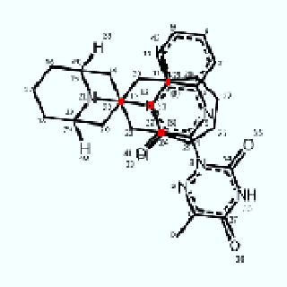 Cc1nn(-c2nc3ccccc3n(C3C[C@H]4CCC[C@@H](C3)N4C3C[C@H]4CCCC[C@@H](C3)C4)c2=O)c(=O)[nH]c1=O